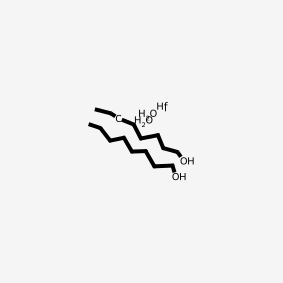 CCCCCCCCO.CCCCCCCCO.O.O.[Hf]